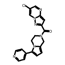 O=C(c1cc2ncc(Cl)cn2n1)N1CCn2c(ccc2-c2ccncc2)C1